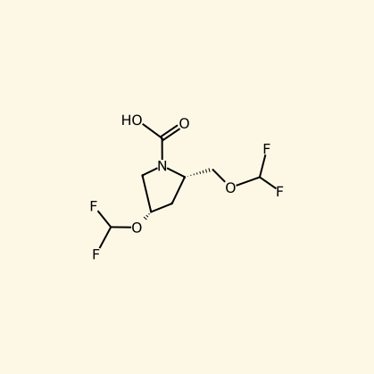 O=C(O)N1C[C@@H](OC(F)F)C[C@H]1COC(F)F